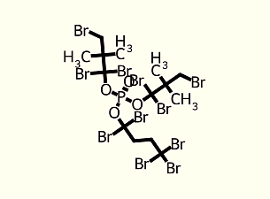 CC(C)(CBr)C(Br)(Br)OP(=O)(OC(Br)(Br)CCC(Br)(Br)Br)OC(Br)(Br)C(C)(C)CBr